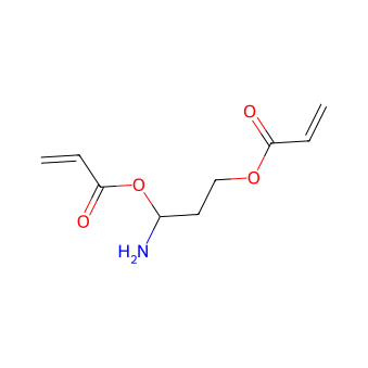 C=CC(=O)OCCC(N)OC(=O)C=C